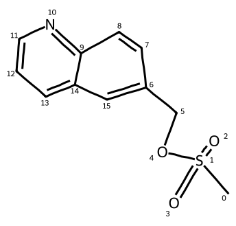 CS(=O)(=O)OCc1ccc2ncccc2c1